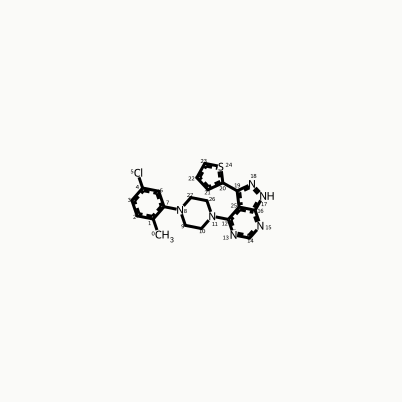 Cc1ccc(Cl)cc1N1CCN(c2ncnc3[nH]nc(-c4cccs4)c23)CC1